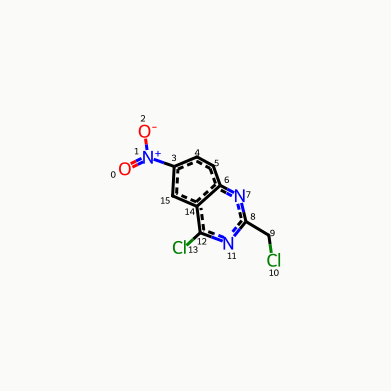 O=[N+]([O-])c1ccc2nc(CCl)nc(Cl)c2c1